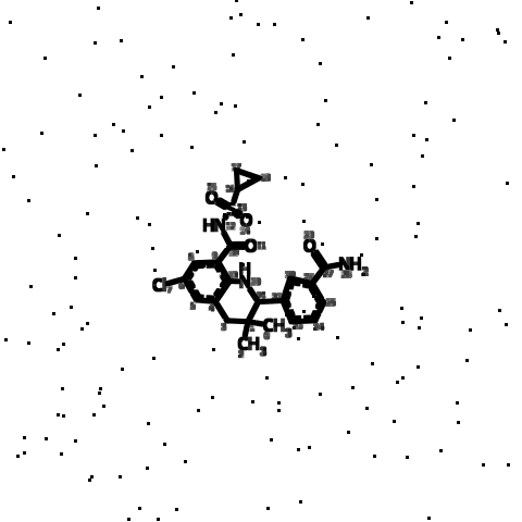 CC1(C)Cc2cc(Cl)cc(C(=O)NS(=O)(=O)C3CC3)c2NC1c1cccc(C(N)=O)c1